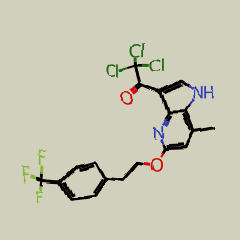 Cc1cc(OCCc2ccc(C(F)(F)F)cc2)nc2c(C(=O)C(Cl)(Cl)Cl)c[nH]c12